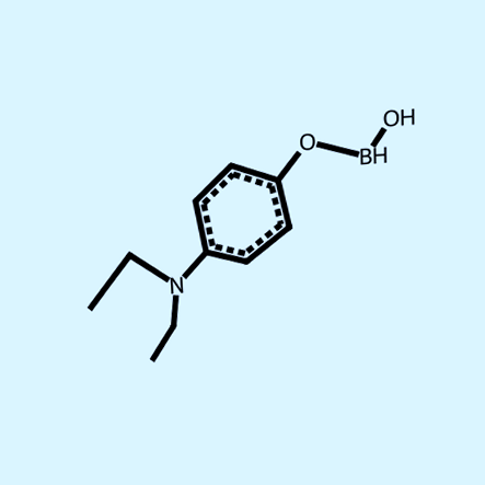 CCN(CC)c1ccc(OBO)cc1